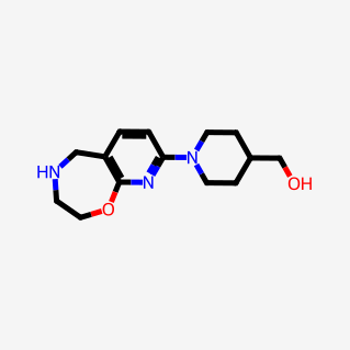 OCC1CCN(c2ccc3c(n2)OCCNC3)CC1